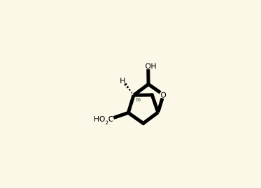 O=C(O)C1CC2C[C@@H]1C(O)O2